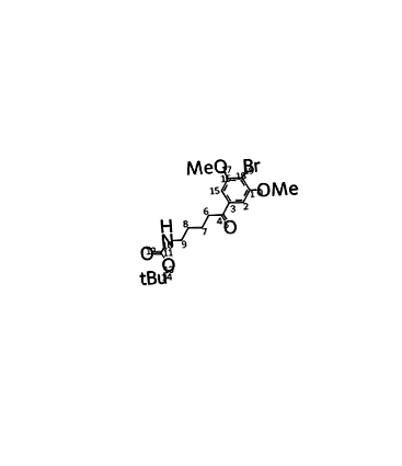 COc1cc(C(=O)CCCCNC(=O)OC(C)(C)C)cc(OC)c1Br